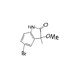 COC1(C)C(=O)Nc2ccc(Br)cc21